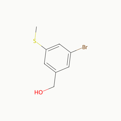 CSc1cc(Br)cc(CO)c1